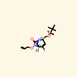 C=CCON1C(=O)N2C[C@H]1C(I)=C[C@@H]2CO[Si](C)(C)C(C)(C)C